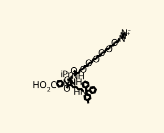 Cc1ccc(C(NCCCCC(NC(=O)C(NC(=O)CCOCCOCCOCCOCCOCCOCCN=[N+]=[N-])C(C)C)C(=O)Nc2ccc(C(=O)O)cc2)(c2ccccc2)c2ccccc2)cc1